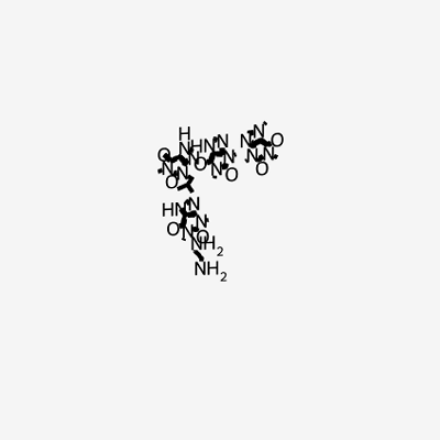 CC(C)Cn1c(=O)n(C)c(=O)c2[nH]cnc21.Cn1c(=O)c2[nH]cnc2n(C)c1=O.Cn1c(=O)c2[nH]cnc2n(C)c1=O.Cn1c(=O)c2c(ncn2C)n(C)c1=O.NCCN